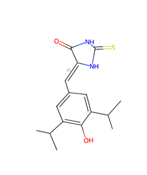 CC(C)c1cc(/C=C2\NC(=S)NC2=O)cc(C(C)C)c1O